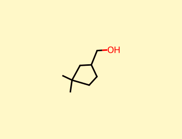 CC1(C)CCC(CO)C1